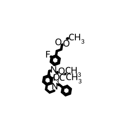 CCOC(=O)CCc1ccc(N(Cc2ccc3c(c2)N(Cc2ccccc2)CCC3)C(=O)OC(C)(C)C)cc1F